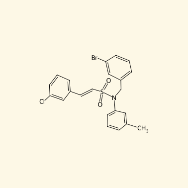 Cc1cccc(N(Cc2cccc(Br)c2)S(=O)(=O)/C=C/c2cccc(Cl)c2)c1